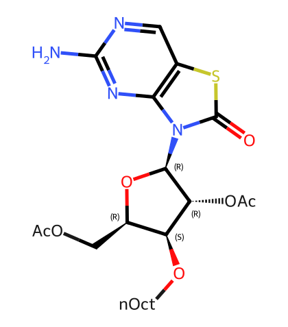 CCCCCCCCO[C@@H]1[C@@H](OC(C)=O)[C@H](n2c(=O)sc3cnc(N)nc32)O[C@@H]1COC(C)=O